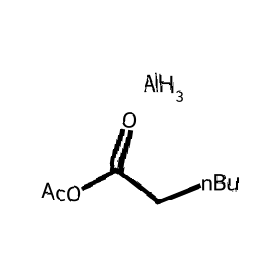 CCCCCC(=O)OC(C)=O.[AlH3]